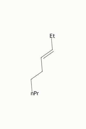 C[CH]CCCC=CCC